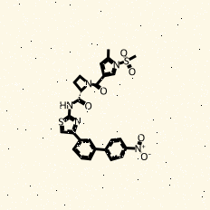 Cc1cc(C(=O)N2CC[C@H]2C(=O)Nc2nc(-c3cccc(-c4ccc([N+](=O)[O-])cc4)c3)cs2)cn1S(C)(=O)=O